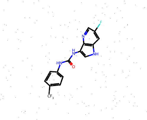 O=C(Nc1ccc(C(F)(F)F)cc1)Nc1c[nH]c2cc(F)cnc12